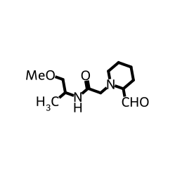 COCC(C)NC(=O)CN1CCCCC1C=O